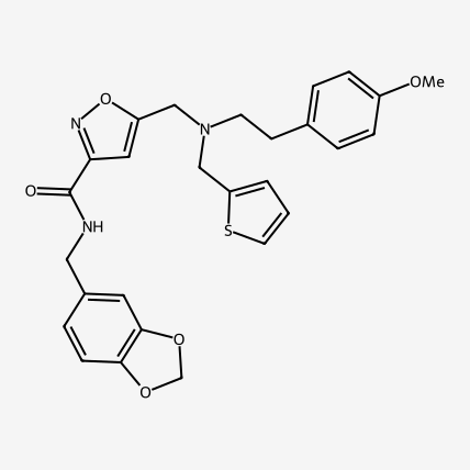 COc1ccc(CCN(Cc2cc(C(=O)NCc3ccc4c(c3)OCO4)no2)Cc2cccs2)cc1